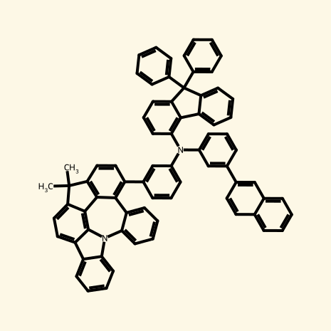 CC1(C)c2ccc(-c3cccc(N(c4cccc(-c5ccc6ccccc6c5)c4)c4cccc5c4-c4ccccc4C5(c4ccccc4)c4ccccc4)c3)c3c2-c2c1ccc1c4ccccc4n(c21)-c1ccccc1-3